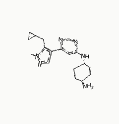 Cn1ncc(-c2cc(N[C@H]3CC[C@H](N)CC3)ncn2)c1CC1CC1